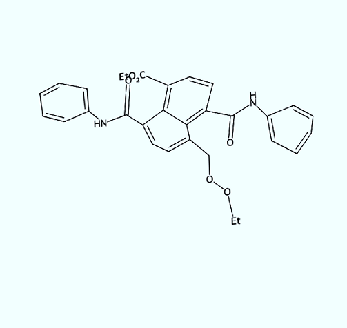 CCOOCc1ccc(C(=O)Nc2ccccc2)c2c(C(=O)OCC)ccc(C(=O)Nc3ccccc3)c12